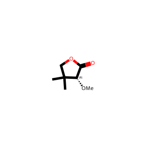 CO[C@H]1C(=O)OCC1(C)C